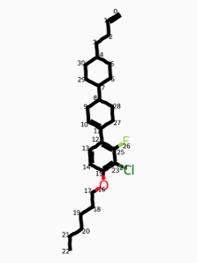 C=CCCC1CCC(C2CC=C(c3ccc(OCCCCCC)c(Cl)c3F)CC2)CC1